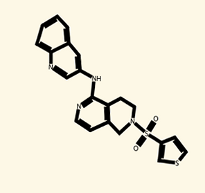 O=S(=O)(c1ccsc1)N1CCc2c(ccnc2Nc2cnc3ccccc3c2)C1